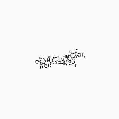 Cc1cc2c(C)c(C(=O)NCc3ccc4c(c3)C(=O)N(C3CCC(=O)NC3=O)C4)[nH]c2cc1Cl